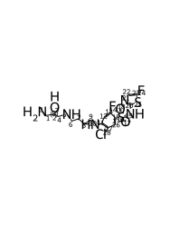 NC[C@@H](O)CNCCCCNc1cc(F)c(S(=O)(=O)Nc2ncc(F)s2)cc1Cl